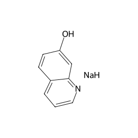 Oc1ccc2cccnc2c1.[NaH]